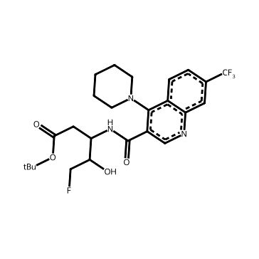 CC(C)(C)OC(=O)CC(NC(=O)c1cnc2cc(C(F)(F)F)ccc2c1N1CCCCC1)C(O)CF